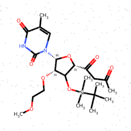 COCCO[C@H]1C(O[Si](C)(C)C(C)(C)C)[C@@H](C(=O)CC(C)=O)O[C@H]1n1cc(C)c(=O)[nH]c1=O